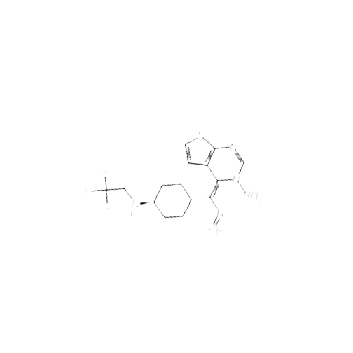 C=N/C(=C1/c2cc[nH]c2N=CN1N)[C@H]1CC[C@H](NCC(F)(F)Br)CC1